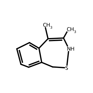 CC1=C(C)c2ccccc2CSN1